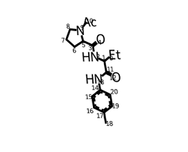 CCC(NC(=O)C1CCCN1C(C)=O)C(=O)Nc1ccc(C)cc1